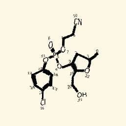 CC1CC(OP(=O)(OCCC#N)Oc2ccc(Cl)cc2)C(CO)O1